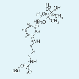 CC(C)(C)OC(=O)NCCCNc1cccc(BOC(C)(C)C(C)(C)O)c1